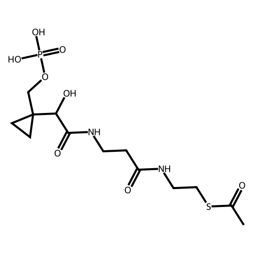 CC(=O)SCCNC(=O)CCNC(=O)C(O)C1(COP(=O)(O)O)CC1